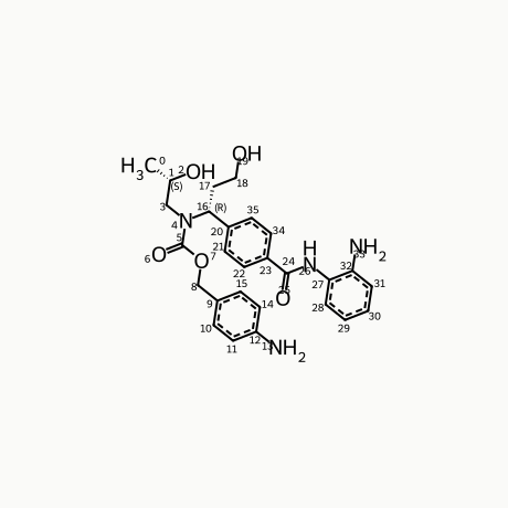 C[C@H](O)CN(C(=O)OCc1ccc(N)cc1)[C@H](CCO)c1ccc(C(=O)Nc2ccccc2N)cc1